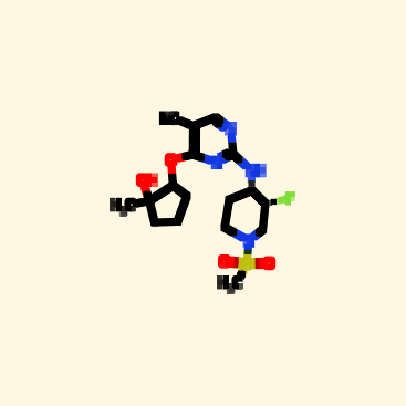 CC1(O)CCCC1Oc1nc(N[C@H]2CCN(S(C)(=O)=O)C[C@H]2F)ncc1C#N